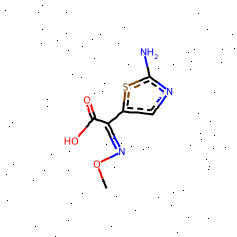 CON=C(C(=O)O)c1cnc(N)s1